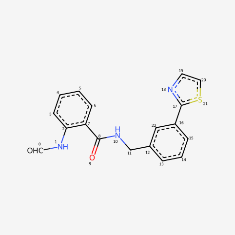 O=CNc1ccccc1C(=O)NCc1cccc(-c2nccs2)c1